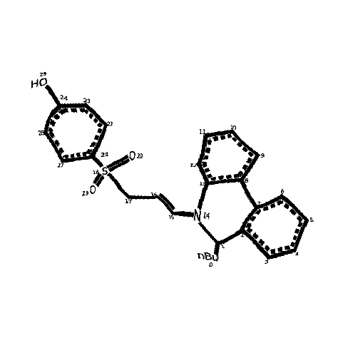 CCCCC1c2ccccc2-c2ccccc2N1C=CCS(=O)(=O)c1ccc(O)cc1